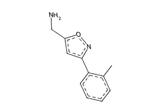 Cc1ccccc1-c1cc(CN)on1